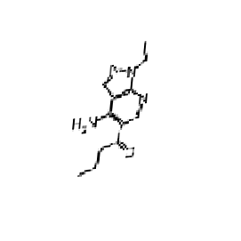 CCCC(=O)c1cnc2c(cnn2CC)c1N